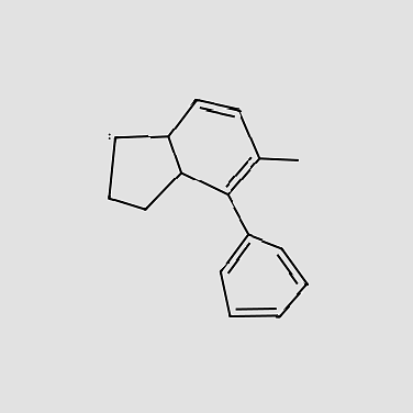 CC1=C(c2ccccc2)C2CC[C]C2C=C1